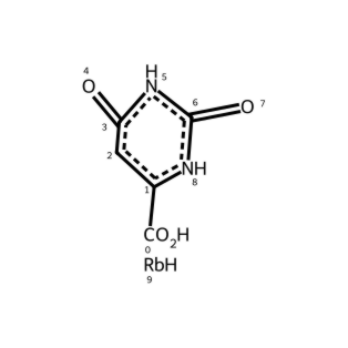 O=C(O)c1cc(=O)[nH]c(=O)[nH]1.[RbH]